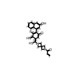 C=CC(=O)N1CC2(C1)CN(/C(S)=C1\C=C(Cl)C(c3cc(O)cc4ccccc34)=C(F)C1=N)C2